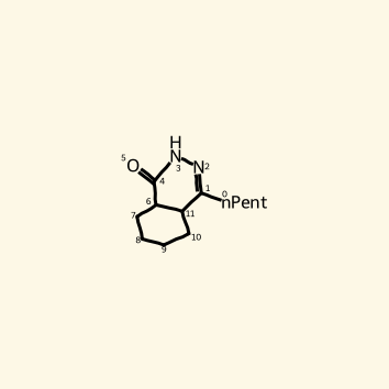 CCCCCC1=NNC(=O)C2CCCCC12